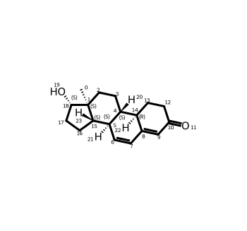 C[C@]12CC[C@H]3[C@@H](C=CC4=CC(=O)CC[C@@H]43)[C@@H]1CC[C@@H]2O